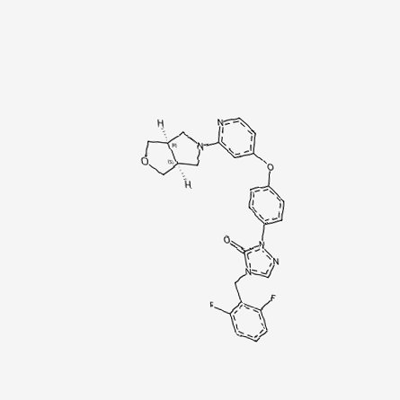 O=c1n(Cc2c(F)cccc2F)cnn1-c1ccc(Oc2ccnc(N3C[C@H]4COC[C@H]4C3)c2)cc1